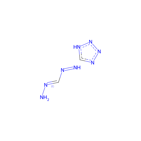 N=N/C=N/N.c1nnn[nH]1